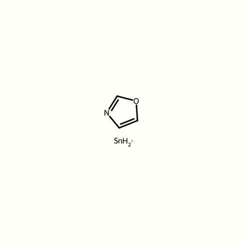 [SnH2].c1cocn1